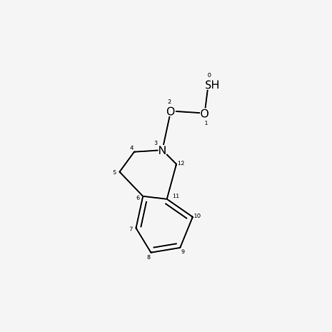 SOON1CCc2ccccc2C1